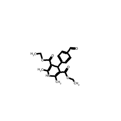 CCOC(=O)C1=C(C)NC(C)=C(C(=O)OCC)C1c1ccc(C=O)cc1